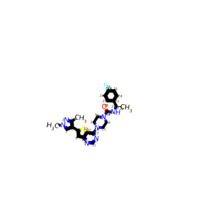 Cc1nn(C)cc1-c1cc2ncnc(N3CCN(C(=O)N[C@@H](C)c4ccc(F)cc4)CC3)c2s1